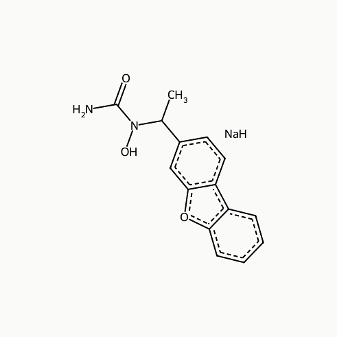 CC(c1ccc2c(c1)oc1ccccc12)N(O)C(N)=O.[NaH]